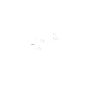 N#Cc1ccccc1NC=C1C=NNC1=O